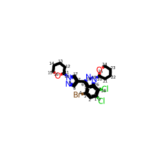 Clc1cc(Br)c2c(-c3cnn(C4CCCCO4)c3)nn(C3CCCCO3)c2c1Cl